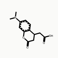 CN(C)c1ccc2c(c1)OC(=O)CC2CC(=O)O